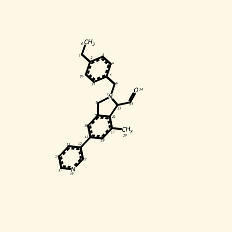 CCc1ccc(CN2Cc3cc(-c4cccnc4)cc(C)c3C2C=O)cc1